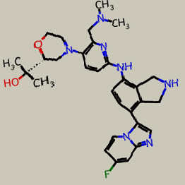 CN(C)Cc1nc(Nc2ccc(-c3cnc4cc(F)ccn34)c3c2CNC3)ccc1N1CCO[C@@H](C(C)(C)O)C1